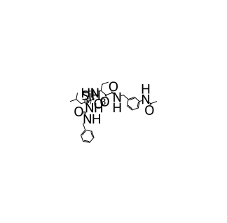 CCC(NC(=O)[C@@]([SiH3])(CC(C)C)NC(=O)NCc1ccccc1)C(=O)C(=O)NCc1cccc(NC(C)=O)c1